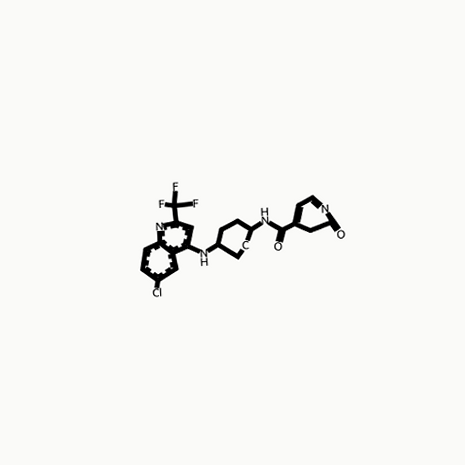 O=C1CC(C(=O)NC2CCC(Nc3cc(C(F)(F)F)nc4ccc(Cl)cc34)CC2)=CC=N1